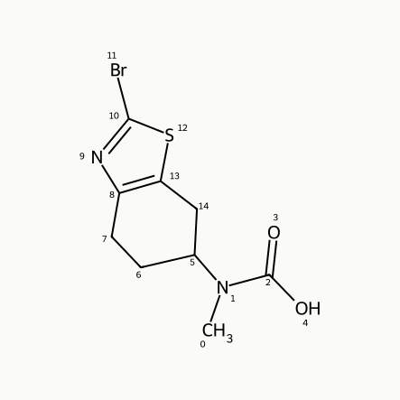 CN(C(=O)O)C1CCc2nc(Br)sc2C1